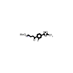 CO/N=C/CCC(=O)c1ccc(-c2noc(C(F)(F)F)n2)cc1F